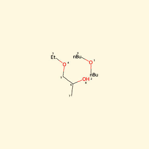 CCCCOCCCC.CCOCC(C)O